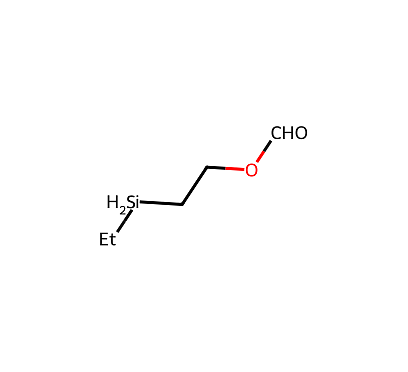 CC[SiH2]CCOC=O